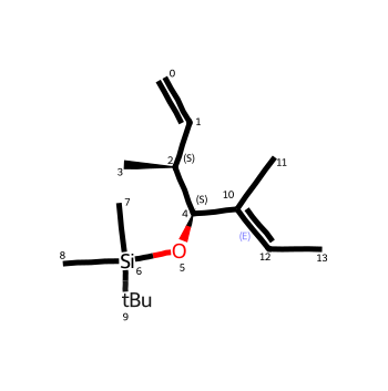 C=C[C@H](C)[C@H](O[Si](C)(C)C(C)(C)C)/C(C)=C/C